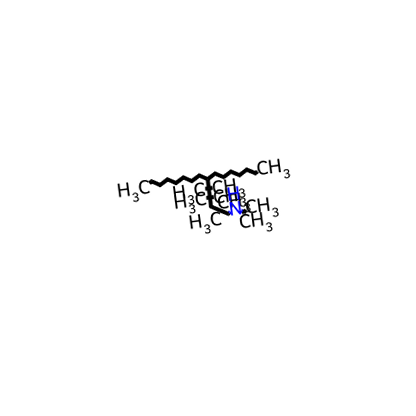 CCCCCCCCC(CCCCCCC)C(C)(C)C(C)(C)CC(C)(C)CNC(C)C